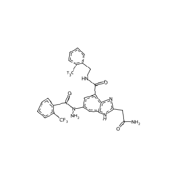 NC(=O)Cc1nc2c(C(=O)NCc3ccccc3C(F)(F)F)cc(N(N)C(=O)c3ccccc3C(F)(F)F)cc2[nH]1